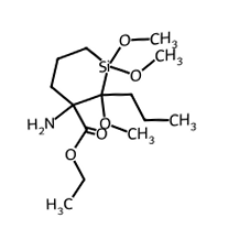 CCCC1(OC)C(N)(C(=O)OCC)CCC[Si]1(OC)OC